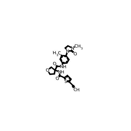 C#Cc1ccc(C(=O)NC2(C(=O)Nc3ccc(N4CCN(C)C4=O)c(C)c3)CCOC2)s1